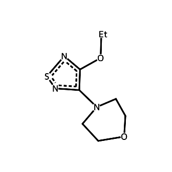 CCOc1nsnc1N1CCOCC1